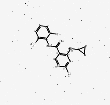 Cc1cccc(F)c1NC(=O)c1cnc(Cl)nc1NC1CC1